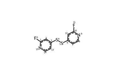 Fc1cc(SSc2ccnc(F)c2)ccn1